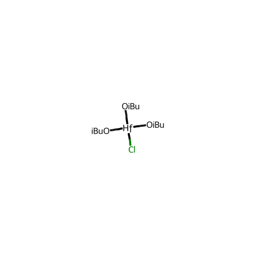 CC(C)C[O][Hf]([Cl])([O]CC(C)C)[O]CC(C)C